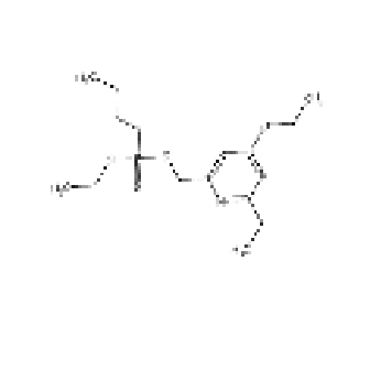 CCCS[P@@](=S)(OCC)OCc1cc(OCC)nc(CC)n1